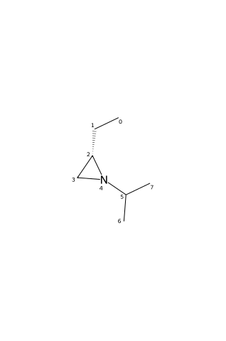 CC[C@H]1CN1C(C)C